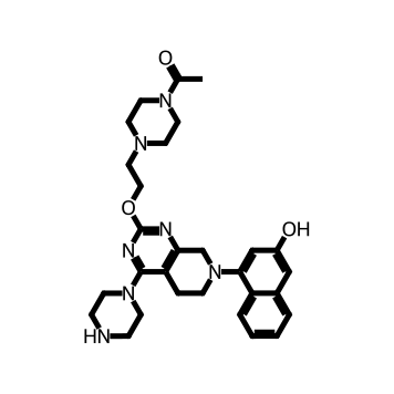 CC(=O)N1CCN(CCOc2nc3c(c(N4CCNCC4)n2)CCN(c2cc(O)cc4ccccc24)C3)CC1